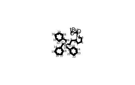 CC(C)(C)OC(=O)N1CCCC1CCS(Cc1ccccc1)(Cc1ccccc1)Cc1ccccc1